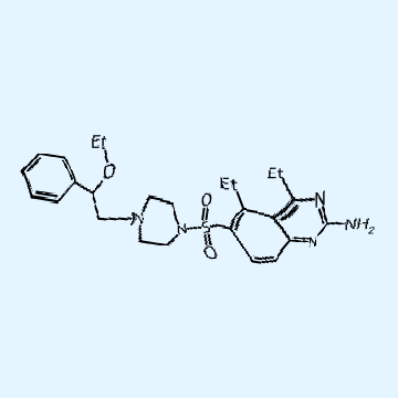 CCOC(CN1CCN(S(=O)(=O)c2ccc3nc(N)nc(CC)c3c2CC)CC1)c1ccccc1